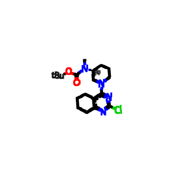 CN(C(=O)OC(C)(C)C)[C@@H]1CCCN(c2nc(Cl)nc3c2CCCC3)C1